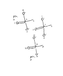 CP(=O)([O-])[O-].CP(=O)([O-])[O-].CP(=O)([O-])[O-].[P+3].[P+3]